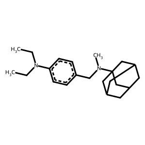 CCN(CC)c1ccc(CN(C)C23CC4CC(CC(C4)C2)C3)cc1